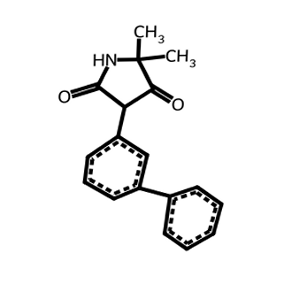 CC1(C)NC(=O)C(c2cccc(-c3ccccc3)c2)C1=O